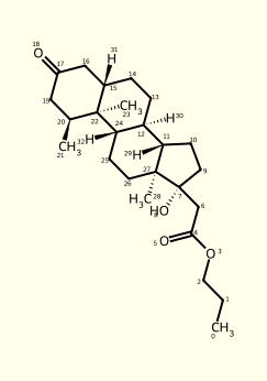 CCCOC(=O)C[C@]1(O)CC[C@H]2[C@@H]3CC[C@H]4CC(=O)C[C@H](C)[C@]4(C)[C@H]3CC[C@@]21C